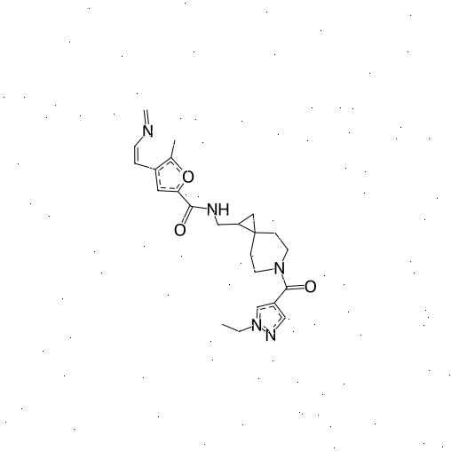 C=N/C=C\c1cc(C(=O)NCC2CC23CCN(C(=O)c2cnn(CC)c2)CC3)oc1C